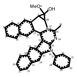 COC1(O)C2c3cc4ccccc4cc3-c3c4c5cc6ccccc6cc5n(-c5ccccc5)c4nc(C)[n+]3C21